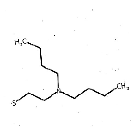 CCCCN(CC[S])CCCC